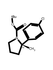 CC(C)(C)OC(=O)N1CCC[C@@]1(C)c1ccc(Cl)cc1